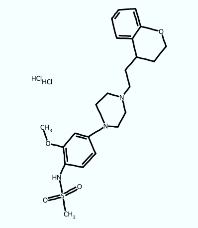 COc1cc(N2CCN(CCC3CCOc4ccccc43)CC2)ccc1NS(C)(=O)=O.Cl.Cl